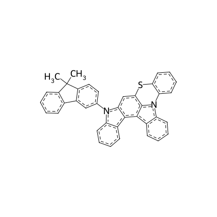 CC1(C)c2ccccc2-c2cc(-n3c4ccccc4c4c5c6ccccc6n6c5c(cc43)Sc3ccccc3-6)ccc21